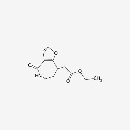 CCOC(=O)CC1CCNC(=O)c2ccoc21